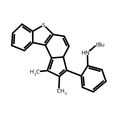 CC1=C(c2ccccc2NC(C)(C)C)C2C=Cc3sc4ccccc4c3C2=C1C